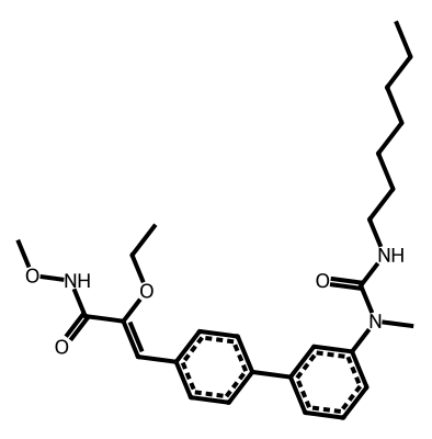 CCCCCCCNC(=O)N(C)c1cccc(-c2ccc(C=C(OCC)C(=O)NOC)cc2)c1